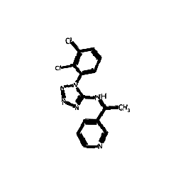 CC(Nc1nnnn1-c1cccc(Cl)c1Cl)c1cccnc1